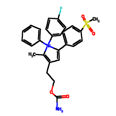 CC1=C(CCOC(N)=O)C=C(c2ccc(S(C)(=O)=O)cc2)[N+]1(c1ccccc1)c1ccc(F)cc1